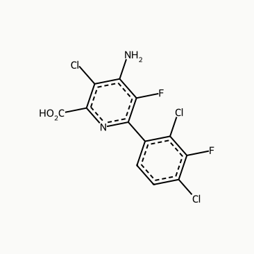 Nc1c(F)c(-c2ccc(Cl)c(F)c2Cl)nc(C(=O)O)c1Cl